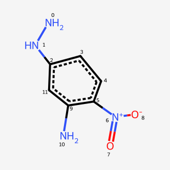 NNc1ccc([N+](=O)[O-])c(N)c1